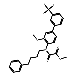 COC(=O)C(=O)N(CCCCc1ccccc1)c1ccc(-c2cccc(C(F)(F)F)c2)cc1OC